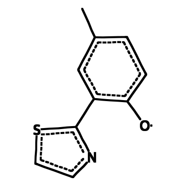 Cc1ccc([O])c(-c2nccs2)c1